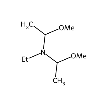 C[CH]N(C(C)OC)C(C)OC